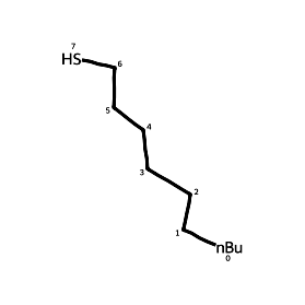 CCCCCCCCCCS